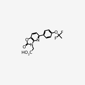 CC(F)(F)Oc1ccc(-c2ccc3oc(=O)n(CC(=O)O)c3n2)cc1